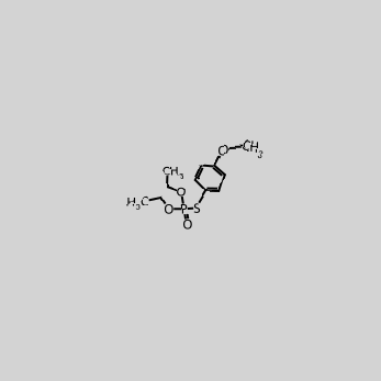 CCOP(=O)(OCC)Sc1ccc(OC)cc1